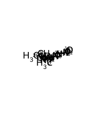 Cc1cc(N2CCN(CCN3CCOCC3)CC2)nn1-c1cnc(OC(C)C)nc1